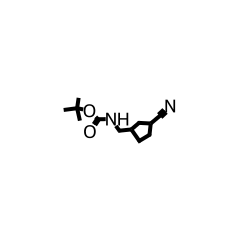 CC(C)(C)OC(=O)NCC1CCC(C#N)C1